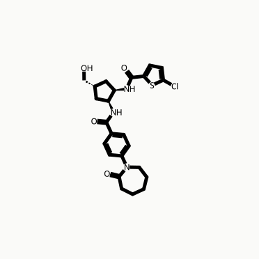 O=C(N[C@H]1C[C@H](CO)C[C@H]1NC(=O)c1ccc(Cl)s1)c1ccc(N2CCCCCC2=O)cc1